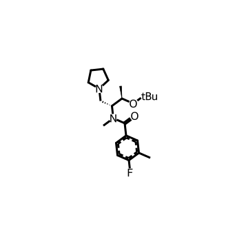 Cc1cc(C(=O)N(C)[C@H](CN2CCCC2)[C@@H](C)OC(C)(C)C)ccc1F